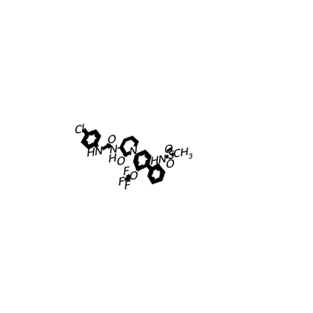 CS(=O)(=O)Nc1ccccc1-c1ccc(N2CCC[C@@H](NC(=O)Nc3ccc(Cl)cc3)C2=O)cc1OC(F)(F)F